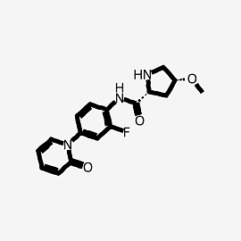 CO[C@H]1CN[C@@H](C(=O)Nc2ccc(-n3ccccc3=O)cc2F)C1